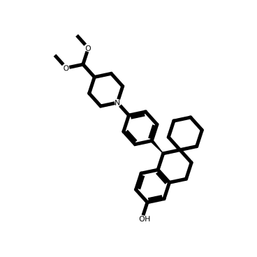 COC(OC)C1CCN(c2ccc([C@@H]3c4ccc(O)cc4CCC34CCCCC4)cc2)CC1